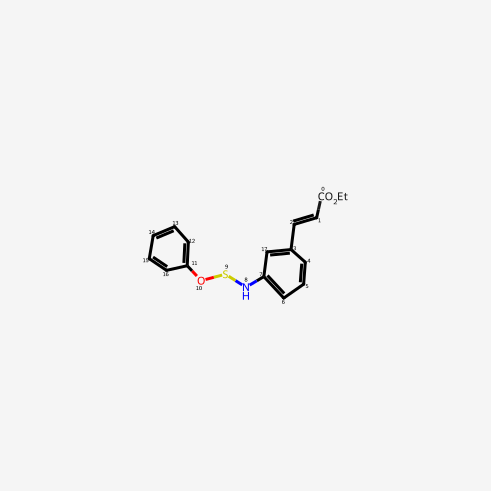 CCOC(=O)/C=C/c1cccc(NSOc2ccccc2)c1